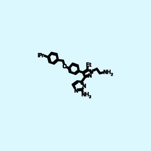 CCc1c(-c2ccc(OCc3ccc(C(C)C)cc3)cc2)c(-c2ccnc(N)n2)nn1CCN